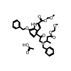 CC(=O)O.COCOC(=O)CC(C)N(CC(=O)c1ccc(OCc2ccccc2)c2[nH]c(C(=O)OCOC)cc12)Cc1ccccc1